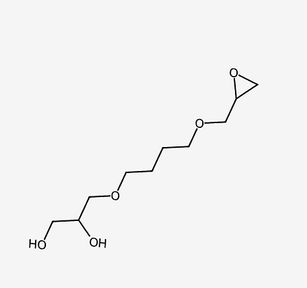 OCC(O)COCCCCOCC1CO1